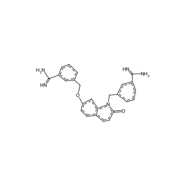 N=C(N)c1cccc(COc2ccc3ccc(=O)n(Cc4cccc(C(=N)N)c4)c3c2)c1